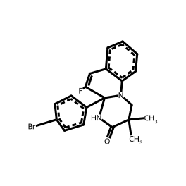 CC1(C)CN2c3ccccc3C=C(F)C2(c2ccc(Br)cc2)NC1=O